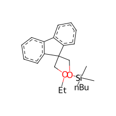 CCCC[Si](C)(C)OCC1(COCC)c2ccccc2-c2ccccc21